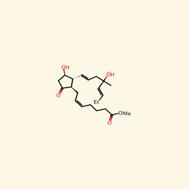 CC/C=C/C(C)(O)C/C=C/[C@H]1[C@H](O)CC(=O)[C@@H]1C/C=C\CCCC(=O)OC